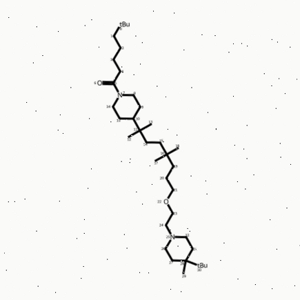 CC(C)(C)CCCCC(=O)N1CCC(C(C)(C)CCC(C)(C)CCCOCCN2CCC(C)(C(C)(C)C)CC2)CC1